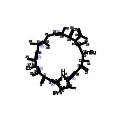 C=C1/C=c2\[nH]/c(c(C)c2C(C)C)=C\C(=C)C(C)C(CCCC)/C(C)=C(/C(=C)C)C(=C)/C(C)=C\C/C(C)=C(C)/C=C(C)/C(CC)=C\1C